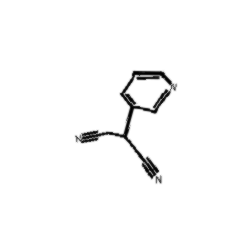 N#CC(C#N)c1cccnc1